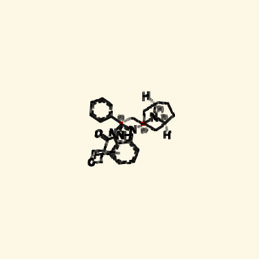 CC1(C(=O)N[C@@H](CCN2[C@@H]3CC[C@H]2C[C@H](n2cnc4c(F)cccc42)C3)c2ccccc2)COC1